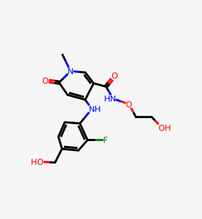 Cn1cc(C(=O)NOCCO)c(Nc2ccc(CO)cc2F)cc1=O